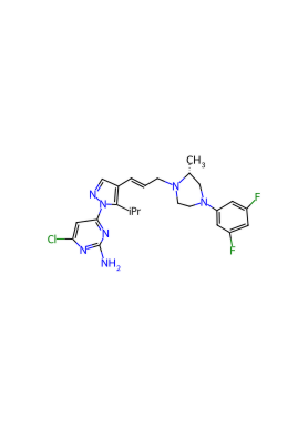 CC(C)c1c(/C=C/CN2CCN(c3cc(F)cc(F)c3)C[C@H]2C)cnn1-c1cc(Cl)nc(N)n1